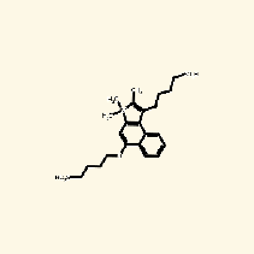 CC1=C(CCCCS(=O)(=O)O)c2c(cc(OCCCCS(=O)(=O)O)c3ccccc23)[N+]1(C)C